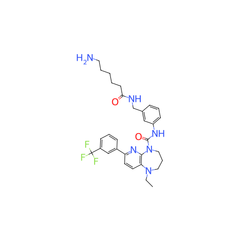 CCN1CCCN(C(=O)Nc2cccc(CNC(=O)CCCCCN)c2)c2nc(-c3cccc(C(F)(F)F)c3)ccc21